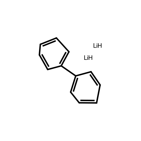 [LiH].[LiH].c1ccc(-c2ccccc2)cc1